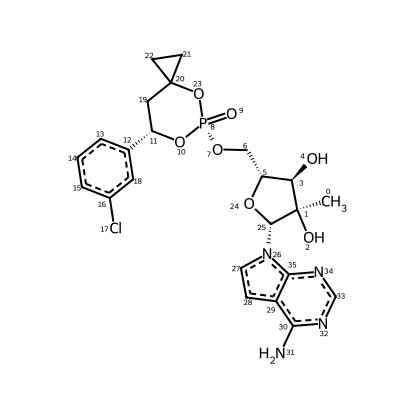 C[C@@]1(O)[C@H](O)[C@@H](CO[P@]2(=O)O[C@H](c3cccc(Cl)c3)CC3(CC3)O2)O[C@H]1n1ccc2c(N)ncnc21